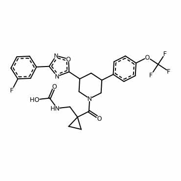 O=C(O)NCC1(C(=O)N2CC(c3ccc(OC(F)(F)F)cc3)CC(c3nc(-c4cccc(F)c4)no3)C2)CC1